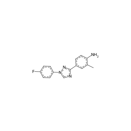 Cc1cc(-c2ncn(-c3ccc(F)cc3)n2)ccc1N